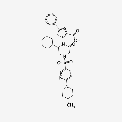 CC1CCN(c2ccc(S(=O)(=O)N3CC(=O)N(c4cc(-c5ccccc5)sc4C(=O)O)C(C4CCCCC4)C3)cn2)CC1